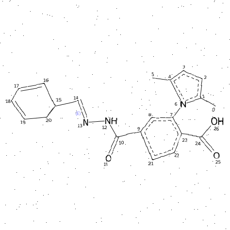 Cc1ccc(C)n1-c1cc(C(=O)N/N=C/C2C=CC=CC2)ccc1C(=O)O